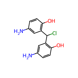 Nc1ccc(O)c(C(Cl)c2cc(N)ccc2O)c1